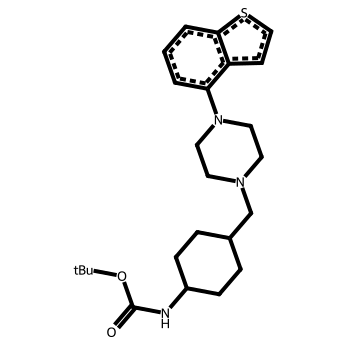 CC(C)(C)OC(=O)NC1CCC(CN2CCN(c3cccc4sccc34)CC2)CC1